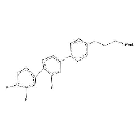 CCCC(C)CCCc1ccc(-c2ccc(-c3ccc(F)c(F)c3)c(F)c2)cc1